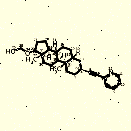 C[C@]12CC[C@H](C#Cc3ccccn3)C[C@H]1CC[C@@H]1[C@@H]2CC[C@]2(C)[C@@H](OCO)CC[C@@H]12